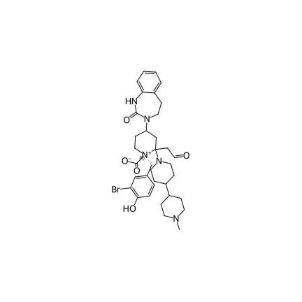 CN1CCC(C2CCN(C3(CC=O)CC(N4CCc5ccccc5NC4=O)CC[N@+]3(Cc3ccc(O)c(Br)c3)C(=O)[O-])CC2)CC1